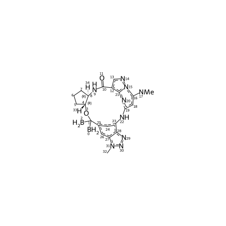 BC1(B)O[C@@H]2CCC[C@H]2NC(=O)c2cnn3c(NC)cc(nc23)Nc2cc1cc1c2nnn1C